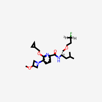 [2H]C([2H])(F)CCOC[C@H](CC(C)C)NC(=O)c1ccc(N2CC(OC)C2)c(OCC2CC2)n1